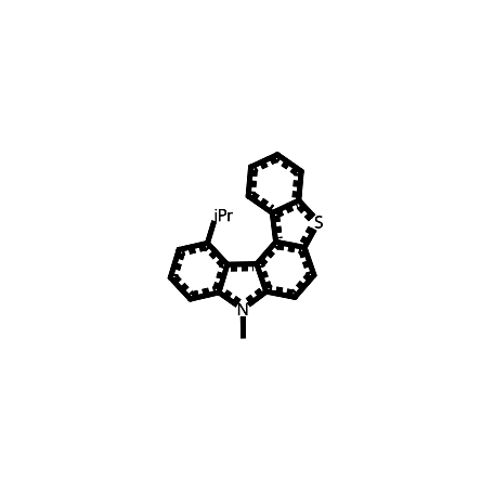 CC(C)c1cccc2c1c1c3c(ccc1n2C)sc1ccccc13